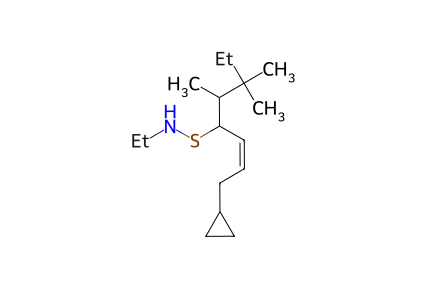 CCNSC(/C=C\CC1CC1)C(C)C(C)(C)CC